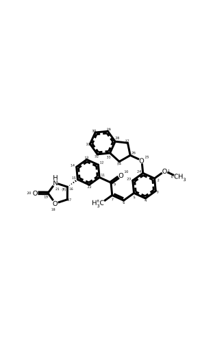 COc1ccc(C=C(C)C(=O)c2cccc([C@@H]3COC(=O)N3)c2)cc1OC1Cc2ccccc2C1